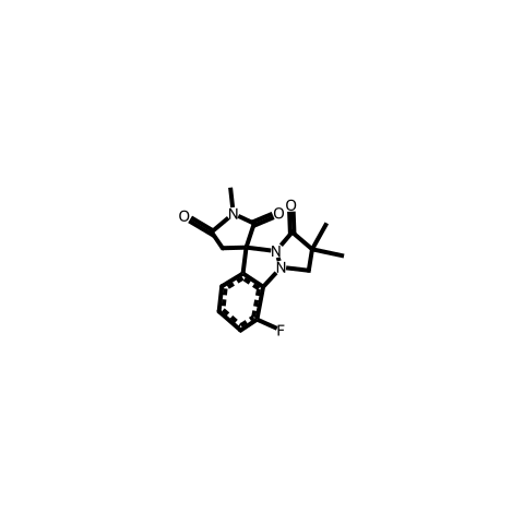 CN1C(=O)CC2(C1=O)c1cccc(F)c1N1CC(C)(C)C(=O)N12